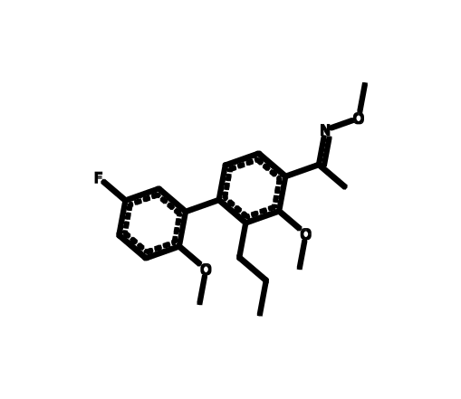 CCCc1c(-c2cc(F)ccc2OC)ccc(C(C)=NOC)c1OC